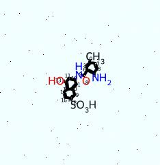 Cc1ccc(N)c(C(=O)Nc2cc(O)c3ccc(S(=O)(=O)O)cc3c2)c1